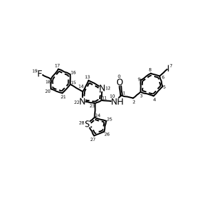 O=C(Cc1ccc(I)cc1)Nc1ncc(-c2ccc(F)cc2)nc1-c1cccs1